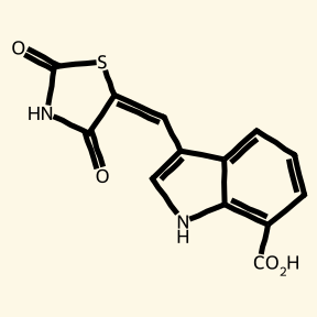 O=C1NC(=O)C(=Cc2c[nH]c3c(C(=O)O)cccc23)S1